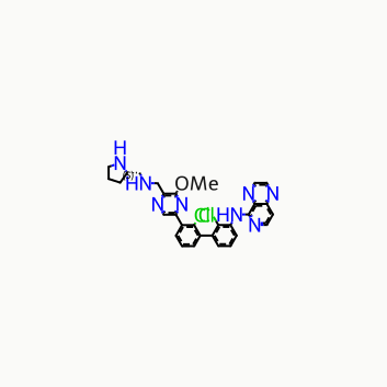 COc1nc(-c2cccc(-c3cccc(Nc4nccc5nccnc45)c3Cl)c2Cl)cnc1CNC[C@@H]1CCCN1